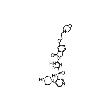 O=C(Nc1cnccc1N1CCNCC1)c1n[nH]c(N2Cc3ccc(OCCN4CCOCC4)cc3C2=O)n1